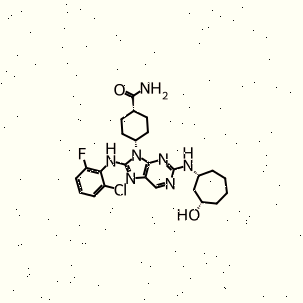 NC(=O)[C@H]1CC[C@H](n2c(Nc3c(F)cccc3Cl)nc3cnc(N[C@@H]4CCCC[C@H](O)C4)nc32)CC1